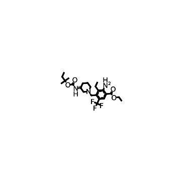 CCOC(=O)c1cc(C(F)(F)F)c(CN2CCC[C@H](NC(=O)OC(C)(C)CC)C2)c(CC)c1N